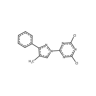 Cc1cn(-c2nc(Cl)nc(Cl)n2)nc1-c1ccccc1